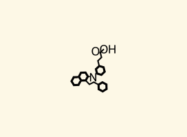 O=C(O)CCc1cccc(N2c3ccc4ccccc4c3CC2c2ccccc2)c1